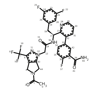 CC(=O)N1Cc2c(C(F)(F)F)nn(CC(=O)N[C@@H](Cc3cc(F)cc(F)c3)c3ncccc3-c3ccc(F)c(C(N)=O)c3)c2C1